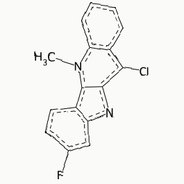 Cn1c2c3ccc(F)cc3nc-2c(Cl)c2ccccc21